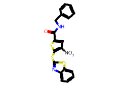 O=C(NCc1ccccc1)c1cc([N+](=O)[O-])c(Sc2nc3ccccc3s2)s1